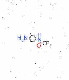 Cc1cc(NC(=O)C(F)(F)F)ccc1N